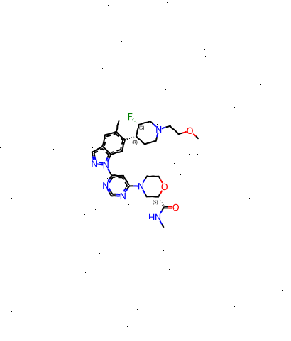 CNC(=O)[C@@H]1CN(c2cc(-n3ncc4cc(C)c([C@H]5CCN(CCOC)C[C@H]5F)cc43)ncn2)CCO1